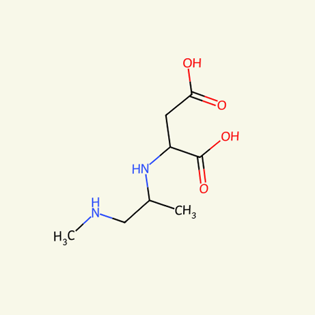 CNCC(C)NC(CC(=O)O)C(=O)O